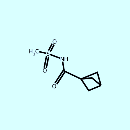 CS(=O)(=O)NC(=O)C12CC(C1)C2